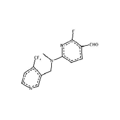 CN(Cc1cnccc1C(F)(F)F)c1ccc(C=O)c(F)n1